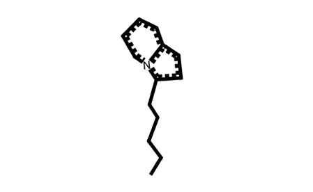 CCCCCc1ccc2ccccn12